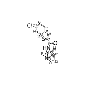 CC1(C)[C@@H](NC(=O)c2cc3ccc(Cl)cc3s2)C2CCN1CC2